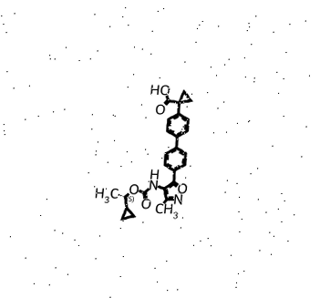 Cc1noc(-c2ccc(-c3ccc(C4(C(=O)O)CC4)cc3)cc2)c1NC(=O)O[C@@H](C)C1CC1